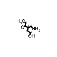 CCC(=O)C(CN)CCO